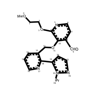 COCCOc1nccc(C=O)c1OCc1cccnc1-c1ccnn1C(C)C